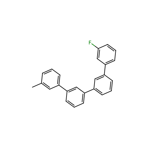 Cc1cccc(-c2cccc(-c3cccc(-c4cccc(F)c4)c3)c2)c1